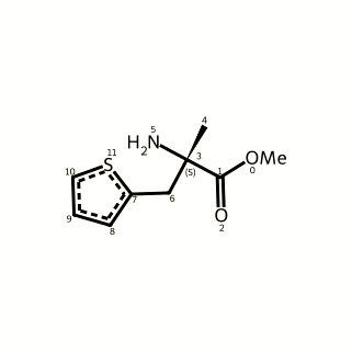 COC(=O)[C@@](C)(N)Cc1cccs1